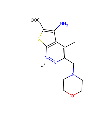 Cc1c(CN2CCOCC2)nnc2sc(C(=O)[O-])c(N)c12.[Li+]